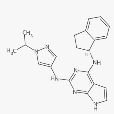 CC(C)n1cc(Nc2nc(N[C@@H]3CCc4ccccc43)c3cc[nH]c3n2)cn1